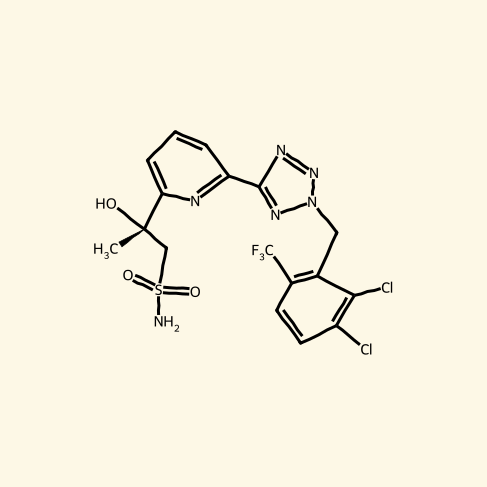 C[C@](O)(CS(N)(=O)=O)c1cccc(-c2nnn(Cc3c(C(F)(F)F)ccc(Cl)c3Cl)n2)n1